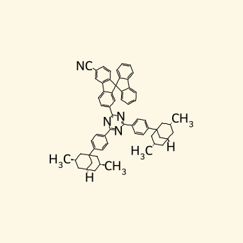 C[C@@H]1C[C@@H]2C[C@H](C)CC(c3ccc(-c4nc(-c5ccc(C67C[C@H](C)C[C@H](C[C@H](C)C6)C7)cc5)nc(-c5ccc6c(c5)C5(c7ccccc7-c7ccccc75)c5ccc(C#N)cc5-6)n4)cc3)(C1)C2